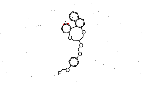 FCOc1ccc(OCOC2COc3ccc4ccccc4c3-c3c(ccc4ccccc34)OC2)cc1